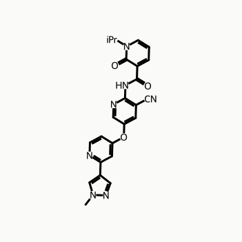 CC(C)n1cccc(C(=O)Nc2ncc(Oc3ccnc(-c4cnn(C)c4)c3)cc2C#N)c1=O